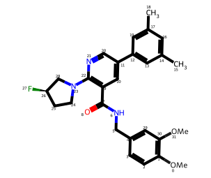 COc1ccc(CNC(=O)c2cc(-c3cc(C)cc(C)c3)cnc2N2CC[C@@H](F)C2)cc1OC